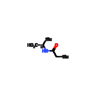 CC(C)(C)CC(=O)N[C@H](C(=O)O)C(C)(C)C